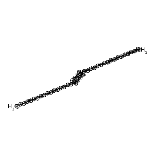 COCCOCCOCCOCCOCCOCCOCCOCCOCCOCCOCCOCCOCCOCCOCCOCCOCCN1C(=O)c2ccc3c4ccc5c6c(ccc(c7ccc(c2c37)C1=O)c64)C(=O)N(CCOCCOCCOCCOCCOCCOCCOCCOCCOCCOCCOCCOCCOCCOCCOCCOCCOC)C5=O